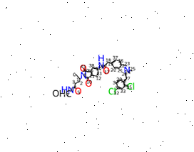 CC(CCC(=O)NC=O)N1C(=O)c2ccc(NC(=O)Cc3ccc(CN(C)CCc4ccc(Cl)cc4Cl)cc3)cc2C1=O